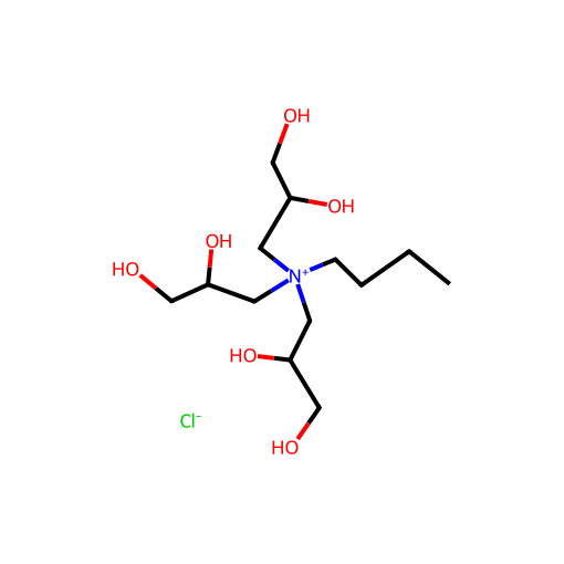 CCCC[N+](CC(O)CO)(CC(O)CO)CC(O)CO.[Cl-]